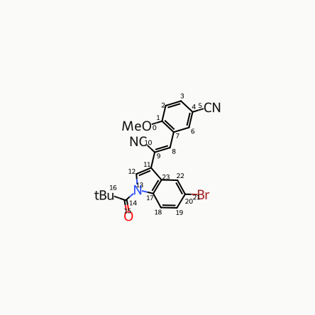 COc1ccc(C#N)cc1C=C(C#N)c1cn(C(=O)C(C)(C)C)c2ccc(Br)cc12